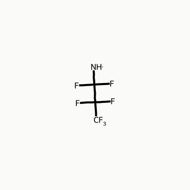 [NH]C(F)(F)C(F)(F)C(F)(F)F